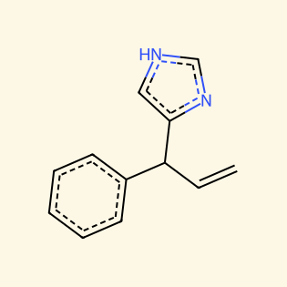 C=CC(c1ccccc1)c1c[nH]cn1